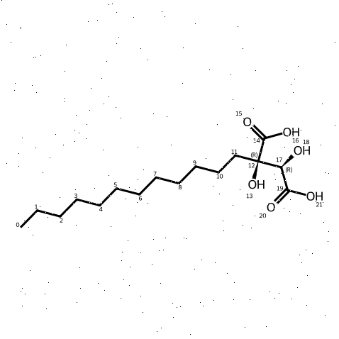 CCCCCCCCCCCC[C@](O)(C(=O)O)[C@@H](O)C(=O)O